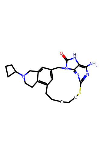 Nc1nc2nc3c1[nH]c(=O)n3Cc1cc(c3c(c1)CN(C1CCC1)CC3)CCCCCS2